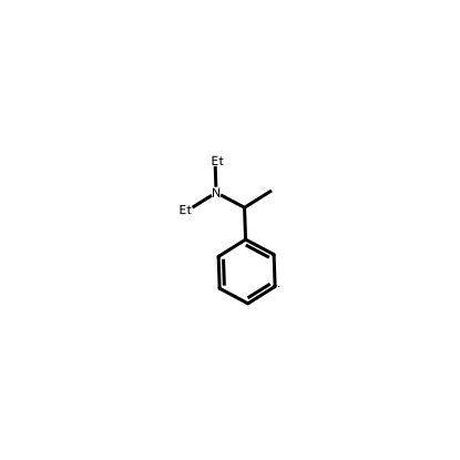 CCN(CC)C(C)c1c[c]ccc1